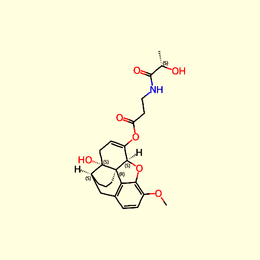 COc1ccc2c3c1O[C@@H]1C(OC(=O)CCNC(=O)[C@H](C)O)=CC[C@]4(O)[C@@H](CCC[C@@]314)C2